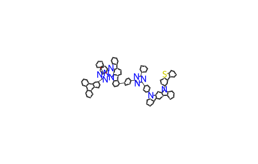 c1ccc(-c2nc(-c3ccc(-c4cccc5c4c4ccc6c7ccccc7n(-c7ccccc7)c6c4n5-c4nc(-c5ccccc5)nc(-c5ccc6c7ccccc7c7ccccc7c6c5)n4)cc3)nc(-c3ccc(-n4c5ccccc5c5cc6c7ccccc7n(-c7ccc8sc9ccccc9c8c7)c6cc54)cc3)n2)cc1